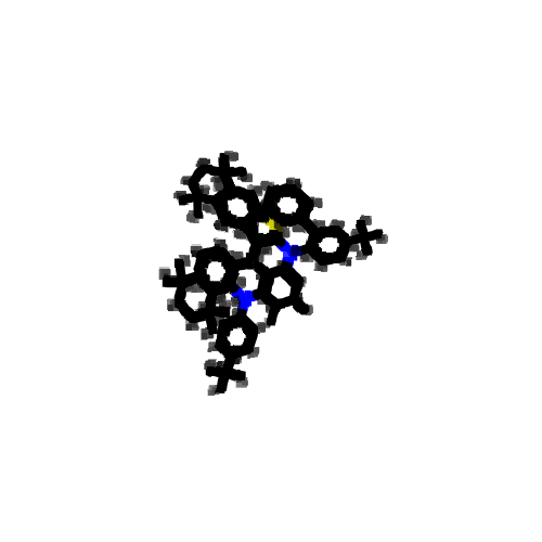 CC1C=C2C3=C(C1C)N(c1ccc(C(C)(C)C)cc1)c1c(ccc4c1C(C)(C)CCC4(C)C)B3c1c(sc3cc4c(cc13)C(C)(C)CCC4(C)C)N2c1ccc(C(C)(C)C)cc1-c1ccccc1